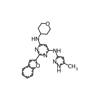 Cc1cc(Nc2cc(NC3CCOCC3)nc(-c3cc4ccccc4o3)n2)n[nH]1